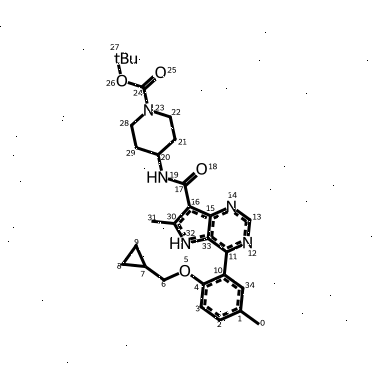 Cc1ccc(OCC2CC2)c(-c2ncnc3c(C(=O)NC4CCN(C(=O)OC(C)(C)C)CC4)c(C)[nH]c23)c1